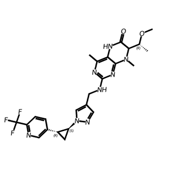 CO[C@H](C)C1C(=O)Nc2c(C)nc(NCc3cnn([C@H]4C[C@@H]4c4ccc(C(F)(F)F)nc4)c3)nc2N1C